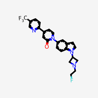 O=c1cc(-c2ccc(C(F)(F)F)cn2)ccn1-c1ccc2c(ccn2C2CN(CCF)C2)c1